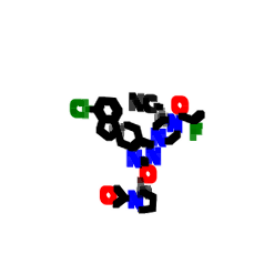 C=C(F)C(=O)N1CCN(c2nc(OC[C@@H]3CCCN3C3COC3)nc3c2CC[C@@]2(CCc4c(Cl)cccc42)C3)C[C@@H]1CC#N